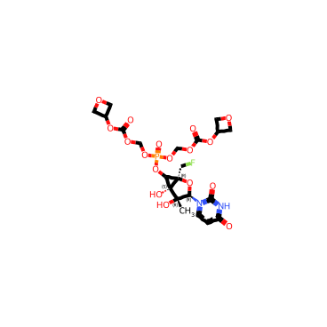 C[C@]1(O)[C@H](n2ccc(=O)[nH]c2=O)O[C@]2(CF)C(OP(=O)(OCOC(=O)OC3COC3)OCOC(=O)OC3COC3)[C@]12O